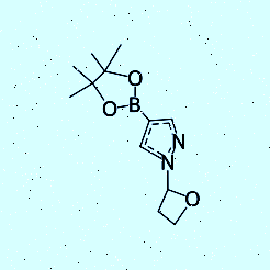 CC1(C)OB(c2cnn(C3CCO3)c2)OC1(C)C